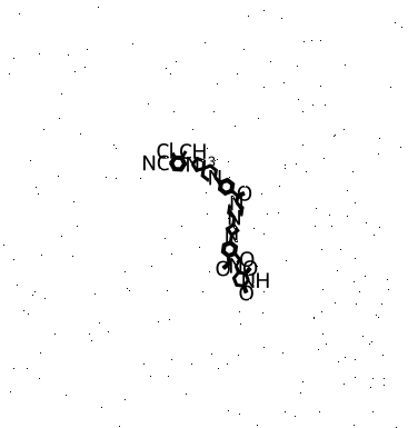 Cc1c(N2CCC3(CCN(c4ccc(C(=O)N5CCN(C6CN(c7ccc8c(c7)C(=O)N(C7CCC(=O)NC7=O)C8=O)C6)CC5)cc4)CC3)C2)ccc(C#N)c1Cl